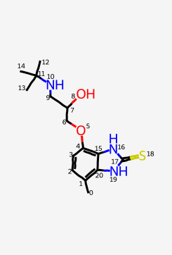 Cc1ccc(OCC(O)CNC(C)(C)C)c2[nH]c(=S)[nH]c12